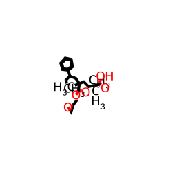 CCC(CC(C)(CCC(C)(C)C(=O)O)C(=O)OCC1CO1)c1ccccc1